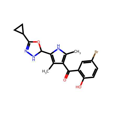 Cc1[nH]c(C2NN=C(C3CC3)O2)c(C)c1C(=O)c1cc(Br)ccc1O